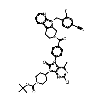 Cc1nc(Cl)nc2c1n(-c1ccc(C(=O)N3CCc4c(n(Cc5ccc(C#N)cc5F)c5ncccc45)C3)cc1)c(=O)n2C1CCN(C(=O)OC(C)(C)C)CC1